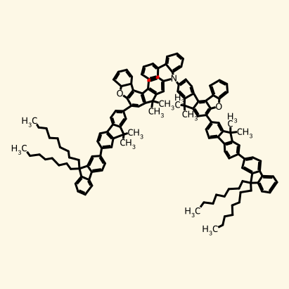 CCCCCCCCCC1(CCCCCCCC)c2ccccc2-c2ccc(-c3ccc4c(c3)C(C)(C)c3cc(-c5cc6c(c7c5OC5C=CC=CC75)-c5ccc(N(c7ccc8c(c7)C(C)(C)c7cc(-c9ccc%10c(c9)C(C)(C)c9cc(-c%11ccc%12c(c%11)C(CCCCCCCC)(CCCCCCCC)c%11ccccc%11-%12)ccc9-%10)c9oc%10ccccc%10c9c7-8)c7ccccc7-c7ccccc7)cc5C6(C)C)ccc3-4)cc21